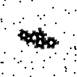 CC1=Cc2ccccc2C1CC1C(C)=Cc2c(C3CCCCC3)cccc21